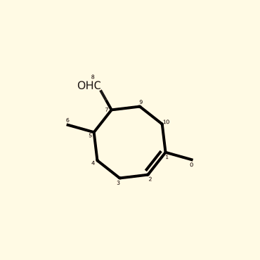 CC1=CCCC(C)C(C=O)CC1